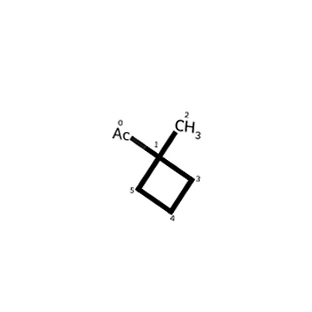 CC(=O)C1(C)CCC1